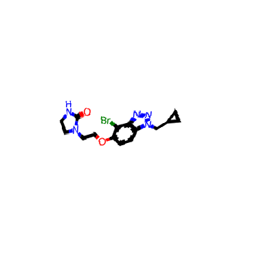 O=C1NCCN1CCOc1ccc2c(nnn2CC2CC2)c1Br